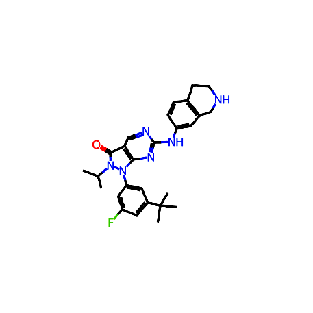 CC(C)n1c(=O)c2cnc(Nc3ccc4c(c3)CNCC4)nc2n1-c1cc(F)cc(C(C)(C)C)c1